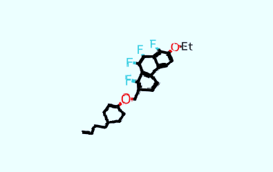 C=CCCC1CCC(OCc2ccc3c(c2F)C(F)C(F)c2c-3ccc(OCC)c2F)CC1